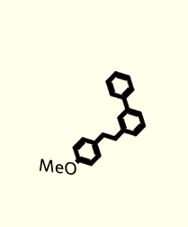 COc1ccc(CCc2cccc(-c3ccccc3)c2)cc1